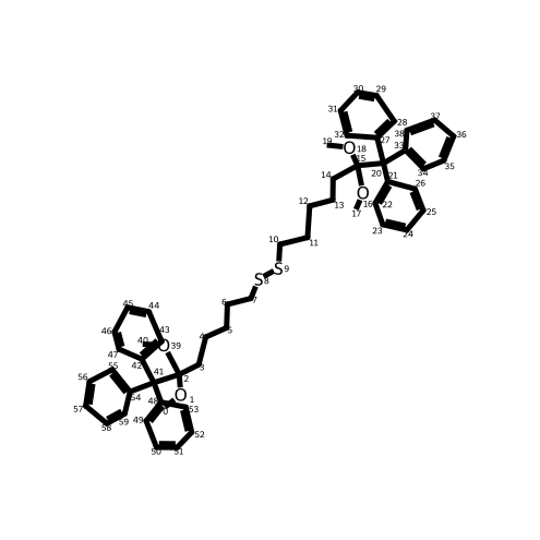 COC(CCCCCSSCCCCCC(OC)(OC)C(c1ccccc1)(c1ccccc1)c1ccccc1)(OC)C(c1ccccc1)(c1ccccc1)c1ccccc1